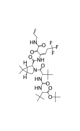 C=CCNC(=O)C(=O)/C(=C\CC(F)(F)F)NC(=O)[C@@H]1[C@@H]2[C@H](CN1C(=O)[C@@H](NC(=O)N[C@H](C(=O)OC(C)(C)C)C(C)(C)C)C(C)(C)C)C2(C)C